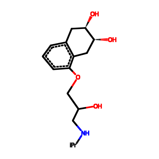 CC(C)NCC(O)COc1cccc2c1C[C@@H](O)[C@@H](O)C2